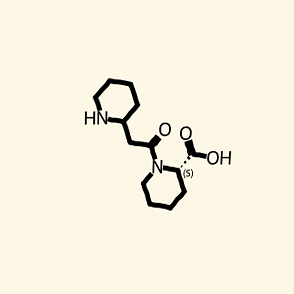 O=C(O)[C@@H]1CCCCN1C(=O)CC1CCCCN1